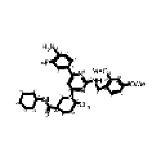 COc1ccc(CNc2nc(-c3ccc(N)c(F)c3)cc(N3CC(C(=O)NC4CCCCC4)CCC3C(F)(F)F)n2)c(OC)c1